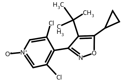 CC(C)(C)c1c(-c2c(Cl)c[n+]([O-])cc2Cl)noc1C1CC1